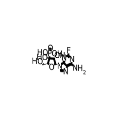 Nc1nc(F)nc2c1ncn2[C@@H]1O[C@H](CO)[C@](O)(P(=O)(O)O)[C@H]1O